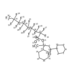 CS(CC(=O)C1CCCCC1)(OS(=O)(=O)C(F)(F)C(F)(F)C(F)(F)C(F)(F)C(F)(F)C(F)(F)C(F)(F)C(F)(F)F)C1CCCCC1